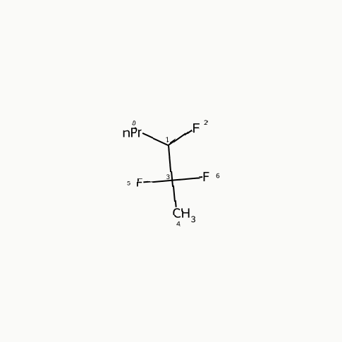 CCCC(F)C(C)(F)F